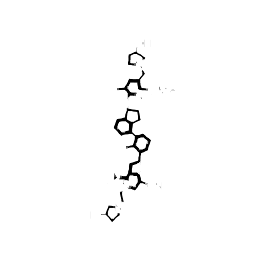 C/N=c1/c2cc(-c3cccc(-c4cccc5c4CC[C@@H]5Oc4nc(OC)c(CN5CC[C@@H](O)C5)cc4Cl)c3Cl)oc2c(C#N)cn1CCN1CC[C@@H](O)C1